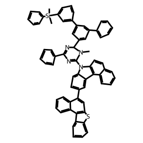 CN1C(n2c3ccc(-c4cc5sc6ccccc6c5c5ccccc45)cc3c3c4ccccc4ccc32)=NC(c2ccccc2)=NC1c1cc(-c2ccccc2)cc(-c2cccc([Si](C)(C)c3ccccc3)c2)c1